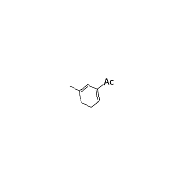 CC(=O)C1=CCCC(C)=C1